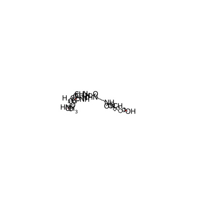 CNC(=O)COc1cc2cc(Nc3nc(N4CCC(C(=O)NCCCCCCNC(=O)CO/N=C5\CCC6C7CCc8cc(O)ccc8C7CC[C@]56C)CC4)ncc3Cl)cc(OC)c2n(C)c1=O